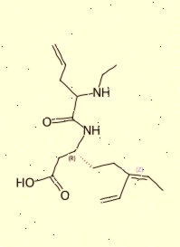 C=CCC(NCC)C(=O)N[C@H](CC/C(C=C)=C/C)CC(=O)O